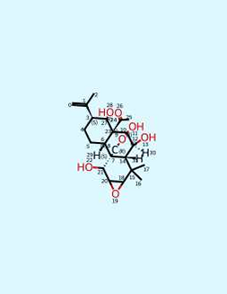 C=C(C)[C@@H]1CC[C@H]2[C@@]34CO[C@@](O)([C@@H](O)[C@@H]3C(C)(C)C3OC3C4O)[C@@]2(C(C)=O)[C@@H]1O